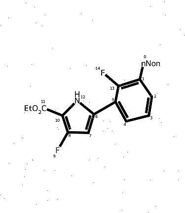 CCCCCCCCCc1cccc(-c2cc(F)c(C(=O)OCC)[nH]2)c1F